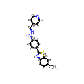 Cc1ccc2nc(-c3ccc(NN=Cc4ccncc4)cc3)sc2c1